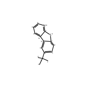 CC(C)(C)c1ccc2sc3ncccc3c2c1